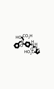 O=C(Nc1ccc(C(=O)N(Cc2ccccc2)C[C@@H](O)C(=O)O)cc1)Nc1sccc1C(=O)O